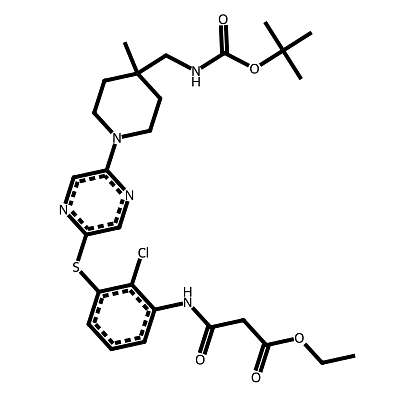 CCOC(=O)CC(=O)Nc1cccc(Sc2cnc(N3CCC(C)(CNC(=O)OC(C)(C)C)CC3)cn2)c1Cl